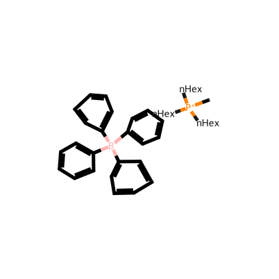 CCCCCC[P+](C)(CCCCCC)CCCCCC.c1ccc([B-](c2ccccc2)(c2ccccc2)c2ccccc2)cc1